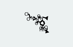 CC1(NS(=O)(=O)c2ccc3c(c2)c(=O)n(C2CN(C(=O)CCl)C2)c(=O)n3CC2CC2)CC1